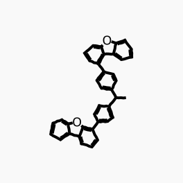 CC(c1ccc(-c2cccc3c2oc2ccccc23)cc1)c1ccc(-c2cccc3oc4ccccc4c23)cc1